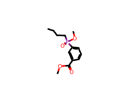 CCCCP(=O)(OC)c1cccc(C(=O)OC)c1